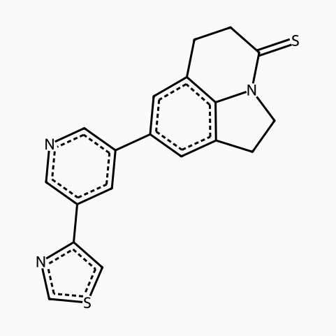 S=C1CCc2cc(-c3cncc(-c4cscn4)c3)cc3c2N1CC3